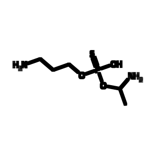 CC(N)OP(O)(=S)OCCCN